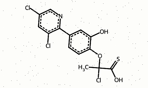 CC(Cl)(Oc1ccc(-c2ncc(Cl)cc2Cl)cc1O)C(O)=S